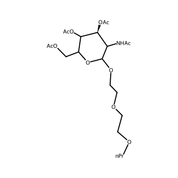 CCCOCCOCCOC1OC(COC(C)=O)C(OC(C)=O)[C@@H](OC(C)=O)C1NC(C)=O